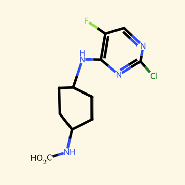 O=C(O)NC1CCC(Nc2nc(Cl)ncc2F)CC1